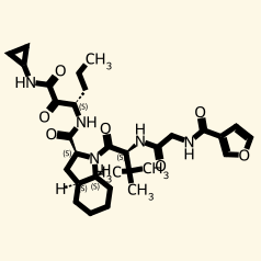 CCC[C@H](NC(=O)[C@@H]1C[C@@H]2CCCC[C@@H]2N1C(=O)[C@@H](NC(=O)CNC(=O)c1ccoc1)C(C)(C)C)C(=O)C(=O)NC1CC1